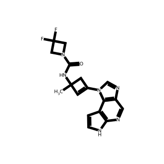 CC1(NC(=O)N2CC(F)(F)C2)C=C(n2cnc3cnc4[nH]ccc4c32)C1